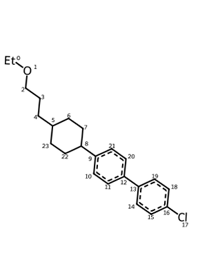 CCOCCCC1CCC(c2ccc(-c3ccc(Cl)cc3)cc2)CC1